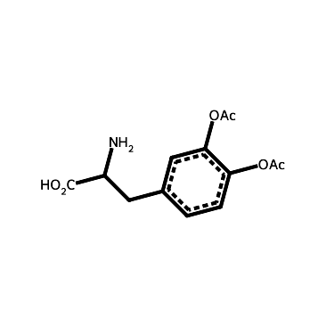 CC(=O)Oc1ccc(CC(N)C(=O)O)cc1OC(C)=O